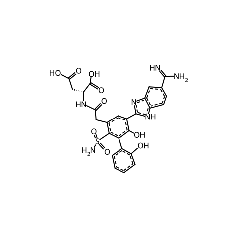 N=C(N)c1ccc2[nH]c(-c3cc(CC(=O)N[C@H](CC(=O)O)C(=O)O)c(S(N)(=O)=O)c(-c4ccccc4O)c3O)nc2c1